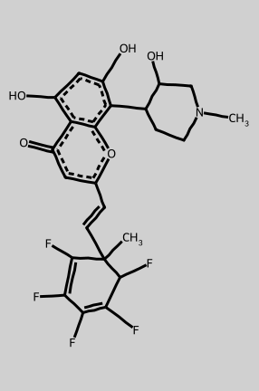 CN1CCC(c2c(O)cc(O)c3c(=O)cc(/C=C/C4(C)C(F)=C(F)C(F)=C(F)C4F)oc23)C(O)C1